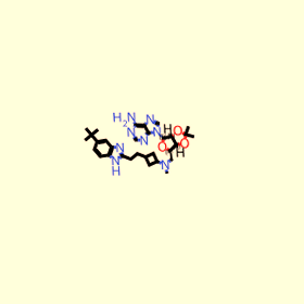 CN(C[C@H]1O[C@@H](n2cnc3c(N)ncnc32)[C@@H]2OC(C)(C)O[C@@H]21)C1CC(CCc2nc3cc(C(C)(C)C)ccc3[nH]2)C1